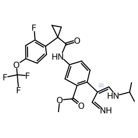 COC(=O)c1cc(NC(=O)C2(c3ccc(OC(F)(F)F)cc3F)CC2)ccc1/C(C=N)=C/NC(C)C